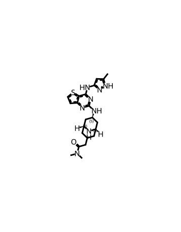 Cc1cc(Nc2nc(N[C@@H]3C[C@H]4CC(CC(=O)N(C)C)C[C@@H](C3)N4)nc3ccsc23)n[nH]1